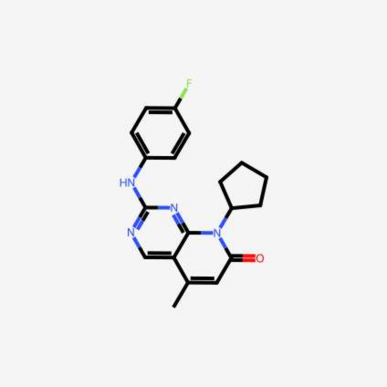 Cc1cc(=O)n(C2CCCC2)c2nc(Nc3ccc(F)cc3)ncc12